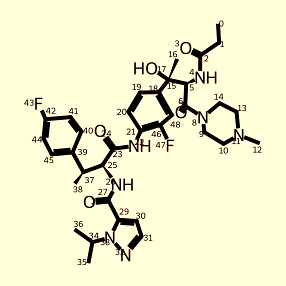 CCC(=O)N[C@@H](C(=O)N1CCN(C)CC1)[C@@](C)(O)c1ccc(NC(=O)[C@@H](NC(=O)c2ccnn2C(C)C)[C@@H](C)c2ccc(F)cc2)c(F)c1